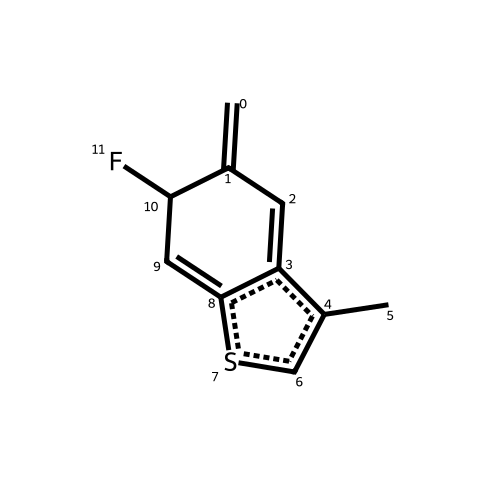 C=C1C=c2c(C)csc2=CC1F